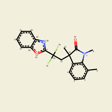 Cc1cccc2c1N(C)C(=O)C2(C)CC(F)(F)c1nc2ccccc2o1